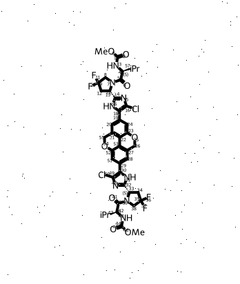 COC(=O)N[C@H](C(=O)N1CC(F)(F)C[C@H]1c1nc(Cl)c(-c2cc3c4c(c2)OCc2cc(-c5[nH]c([C@@H]6CC(F)(F)CN6C(=O)[C@@H](NC(=O)OC)C(C)C)nc5Cl)cc(c2-4)OC3)[nH]1)C(C)C